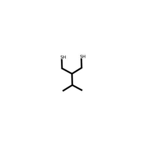 CC(C)C(CS)CS